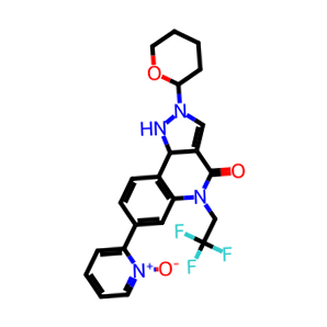 O=C1C2=CN(C3CCCCO3)NC2c2ccc(-c3cccc[n+]3[O-])cc2N1CC(F)(F)F